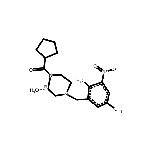 Cc1cc(CN2CCN(C(=O)C3CCCC3)[C@@H](C)C2)c(C)c([N+](=O)[O-])c1